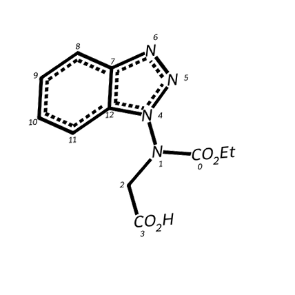 CCOC(=O)N(CC(=O)O)n1nnc2ccccc21